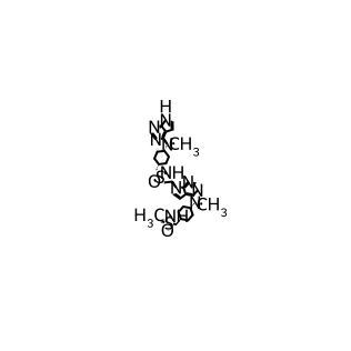 CCS(=N)(=O)C[C@H]1CC[C@H](N(C)c2ncnc3c2ccn3CCS(=N)(=O)C[C@H]2CC[C@@H](N(C)c3ncnc4[nH]ccc34)CC2)CC1